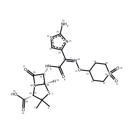 CC1(C)S[C@@H]2[C@@H](NC(=O)/C(=N\OC3CCS(=O)(=O)CC3)c3csc(N)n3)C(=O)N2[C@H]1C(=O)O